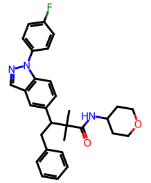 CC(C)(C(=O)NC1CCOCC1)C(Cc1ccccc1)c1ccc2c(cnn2-c2ccc(F)cc2)c1